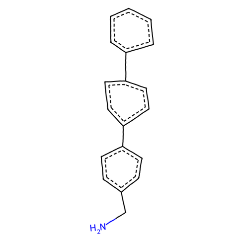 NCc1ccc(-c2ccc(-c3ccccc3)cc2)cc1